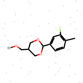 CCOCC1COC(c2ccc(C)c(F)c2)OC1